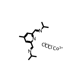 Cc1cc(C=NC(C)C)nc(C=NC(C)C)c1.[Cl-].[Cl-].[Cl-].[Co+3]